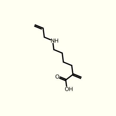 C=CCNCCCCC(=C)C(=O)O